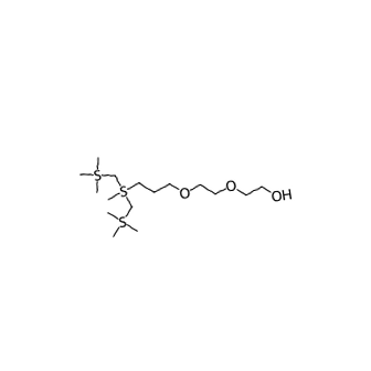 CS(C)(C)CS(C)(CCCOCCOCCO)CS(C)(C)C